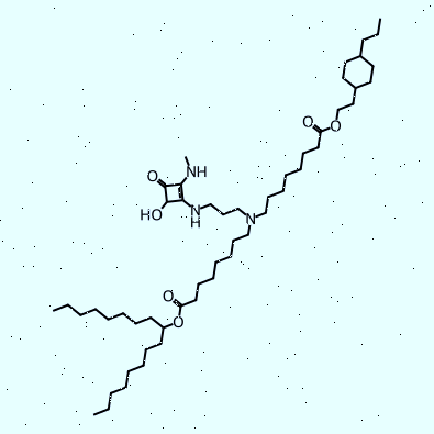 CCCCCCCCC(CCCCCCCC)OC(=O)CCCCCCCN(CCCCCCCC(=O)OCCC1CCC(CCC)CC1)CCCNC1=C(NC)C(=O)C1O